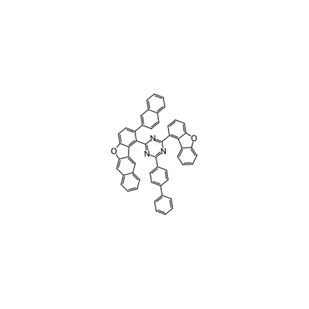 c1ccc(-c2ccc(-c3nc(-c4cccc5oc6ccccc6c45)nc(-c4c(-c5ccc6ccccc6c5)ccc5oc6cc7ccccc7cc6c45)n3)cc2)cc1